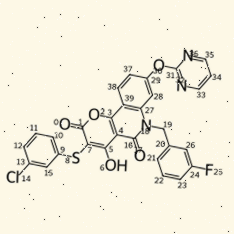 O=c1oc2c(c(O)c1Sc1cccc(Cl)c1)c(=O)n(Cc1cccc(F)c1)c1cc(Oc3ncccn3)ccc21